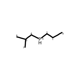 CCCPCC(C)C